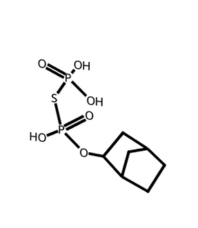 O=P(O)(O)SP(=O)(O)OC1CC2CCC1C2